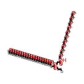 [CH2]C(OC=CC(=O)O)OCCCC.[CH2]C[O].[CH2]C[O].[CH2]C[O].[CH2]C[O].[CH2]C[O].[CH2]C[O].[CH2]C[O].[CH2]C[O].[CH2]C[O].[CH2]C[O].[CH2]C[O].[CH2]C[O].[CH2]C[O].[CH2]C[O].[CH2]C[O].[CH2]C[O].[CH2]C[O].[CH2]C[O].[CH2]C[O].[CH2]C[O].[CH2]C[O].[CH2]C[O].[CH2]C[O].[CH2]C[O].[CH2]C[O].[CH2]C[O].[CH2]C[O].[CH2]C[O].[CH2]C[O]